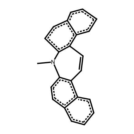 CN1c2ccc3ccccc3c2C=Cc2c1ccc1ccccc21